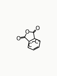 O=C1OC(=O)C2C3C=CC(CCC3)C12